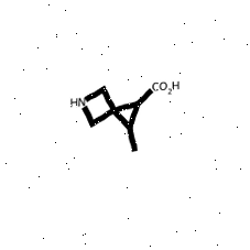 CC1[C](C(=O)O)C12CNC2